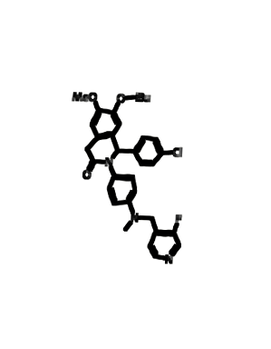 CCC(C)Oc1cc2c(cc1OC)CC(=O)N(c1ccc(N(C)Cc3ccncc3F)cc1)C2c1ccc(Cl)cc1